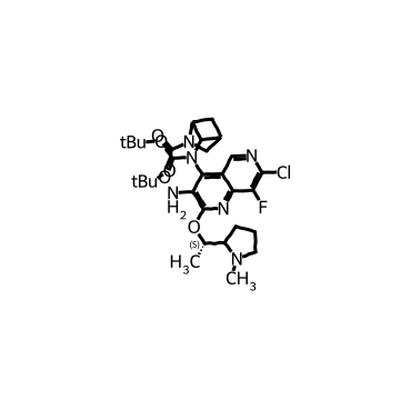 C[C@H](Oc1nc2c(F)c(Cl)ncc2c(N(C(=O)OC(C)(C)C)C2C3CC2N(C(=O)OC(C)(C)C)C3)c1N)C1CCCN1C